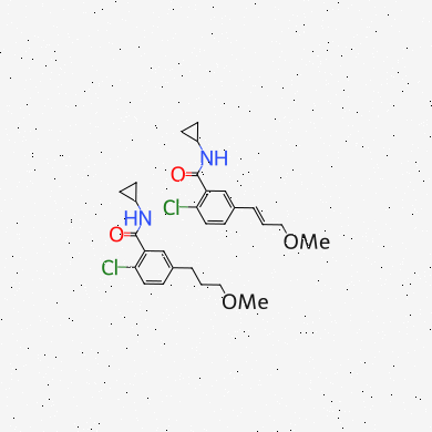 COC/C=C/c1ccc(Cl)c(C(=O)NC2CC2)c1.COCCCc1ccc(Cl)c(C(=O)NC2CC2)c1